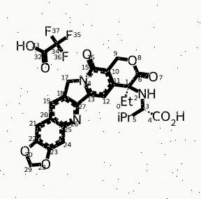 CC[C@@]1(N[C@H](C(=O)O)C(C)C)C(=O)OCc2c1cc1n(c2=O)Cc2cc3cc4c(cc3nc2-1)OCO4.O=C(O)C(F)(F)F